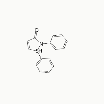 O=C1C=C[SH](c2ccccc2)N1c1ccccc1